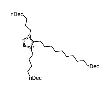 CCCCCCCCCCCCCCCCCCCc1n(CCCCCCCCCCCCC)cc[n+]1CCCCCCCCCCCCCC